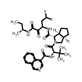 CC[C@H](C)NC(=O)C(=O)C(CC(F)F)NC(=O)[C@@H]1[C@H]2CCC[C@H]2CN1C(=O)[C@H](NC(=O)c1cncc2ccccc12)C(C)(C)C